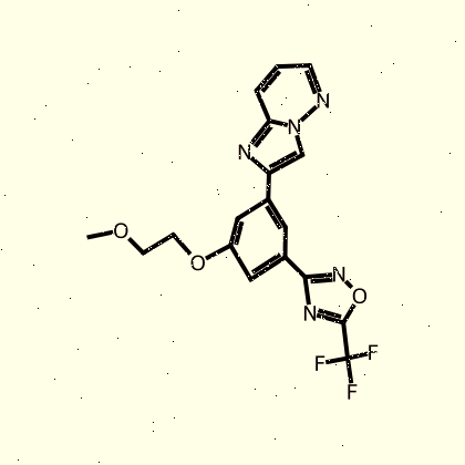 COCCOc1cc(-c2cn3ncccc3n2)cc(-c2noc(C(F)(F)F)n2)c1